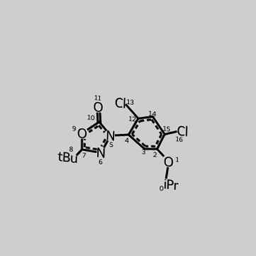 CC(C)Oc1cc(-n2nc(C(C)(C)C)oc2=O)c(Cl)cc1Cl